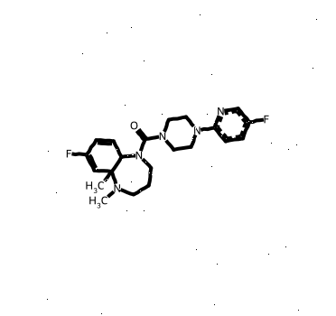 CN1CCCN(C(=O)N2CCN(c3ccc(F)cn3)CC2)C2C=CC(F)=CC21C